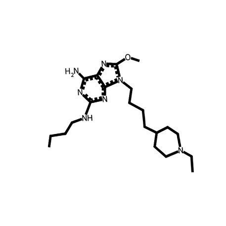 CCCCNc1nc(N)c2nc(OC)n(CCCCC3CCN(CC)CC3)c2n1